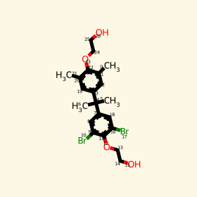 Cc1cc(C(C)(C)c2cc(Br)c(OCCO)c(Br)c2)cc(C)c1OCCO